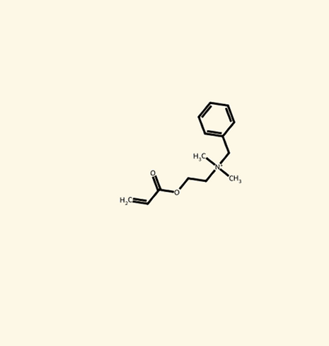 C=CC(=O)OCC[N+](C)(C)Cc1ccccc1